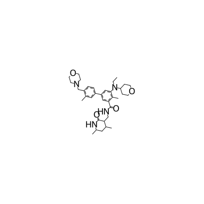 CCN(c1cc(-c2ccc(CN3CCOCC3)c(C)c2)cc(C(=O)NCC2C(=O)NC(C)CC2C)c1C)C1CCOCC1